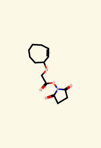 O=C(COC1/C=C\CCCCC1)ON1C(=O)CCC1=O